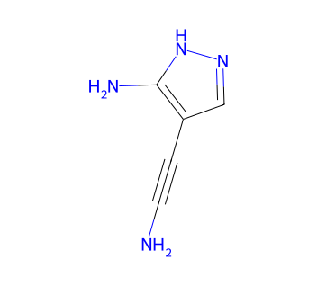 NC#Cc1cn[nH]c1N